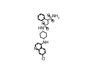 NS(=O)(=O)C(CS(=O)(=O)N[C@H]1CC[C@@H](Nc2ccnc3cc(Cl)ccc23)CC1)c1ccccc1